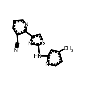 Cc1ccnc(Nc2nc(-c3ncccc3C#N)cs2)c1